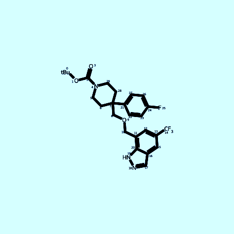 CC(C)(C)OC(=O)N1CCC(COCc2cc(C(F)(F)F)cc3cn[nH]c23)(c2ccc(F)cc2)CC1